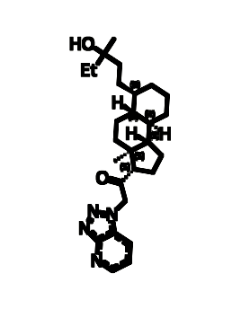 CCC(C)(O)CC[C@H]1CCC[C@@H]2[C@@H]1CC[C@]1(C)[C@@H](C(=O)Cn3nnc4ncccc43)CC[C@@H]21